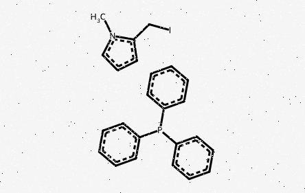 Cn1cccc1CI.c1ccc(P(c2ccccc2)c2ccccc2)cc1